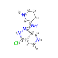 Cc1cc2c(Cl)nnc(NC3CCCN(C)C3)c2cn1